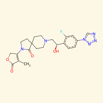 CC1=C(N2CCC3(CCN(C[C@H](O)c4ccc(-n5cnnn5)cc4F)CC3)C2=O)COC1=O